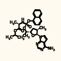 CC(C)OC(=O)[C@H](C)NP(=O)(Oc1cccc2ccccc12)OC(C)[C@@H]1C[C@H](C)[C@H](n2ccc3c(N)ncnc32)O1